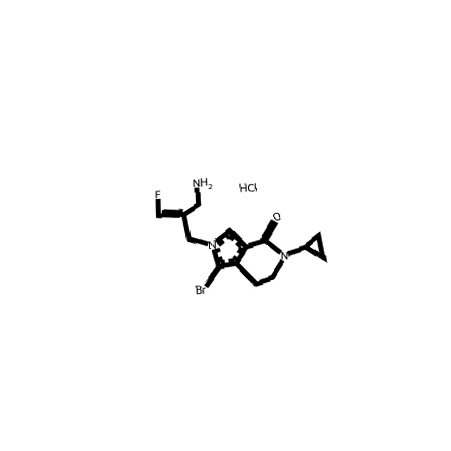 Cl.NC/C(=C\F)Cn1cc2c(c1Br)CCN(C1CC1)C2=O